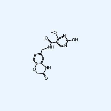 O=C1COc2ccc(CNC(=O)c3cnc(O)nc3O)cc2N1